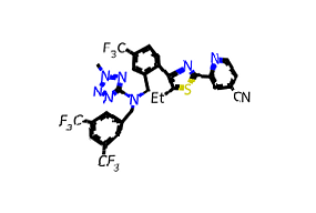 CCc1sc(-c2cc(C#N)ccn2)nc1-c1ccc(C(F)(F)F)cc1CN(Cc1cc(C(F)(F)F)cc(C(F)(F)F)c1)c1nnn(C)n1